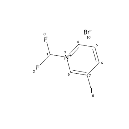 FC(F)[n+]1cccc(I)c1.[Br-]